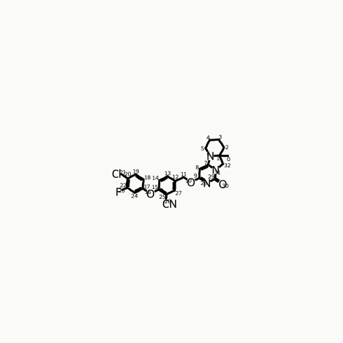 CC12CCCCN1c1cc(OCc3ccc(Oc4ccc(Cl)c(F)c4)c(C#N)c3)nc(=O)n1C2